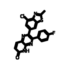 Cc1nc2c(Cl)cc(-c3nc4ccc(=O)[nH]c4nc3-c3ccc(F)cc3)cc2s1